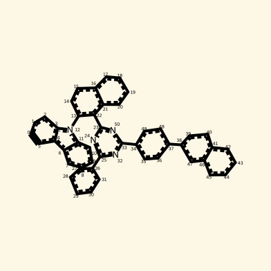 c1ccc2c(c#1)c1ccccc1n2-c1ccc2ccccc2c1-c1nc(-c2ccccc2)nc(-c2ccc(-c3ccc4ccccc4c3)cc2)n1